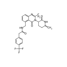 C=C1CCC(n2c(C)nc3cccc(CNC(=O)Cc4ccc(C(F)(F)F)cc4)c3c2=O)C(=O)N1